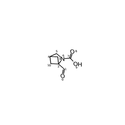 O=CC12CC(CN1C(=O)O)C2